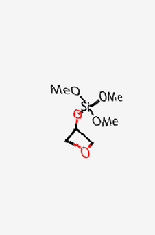 CO[Si](OC)(OC)OC1COC1